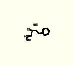 CCCCNCC(CC)CCc1ccccc1.Cl